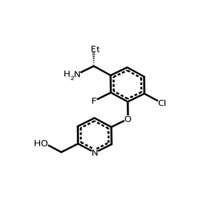 CC[C@@H](N)c1ccc(Cl)c(Oc2ccc(CO)nc2)c1F